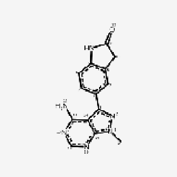 Cn1nc(-c2ccc3c(c2)CC(=O)N3)c2c(N)ncnc21